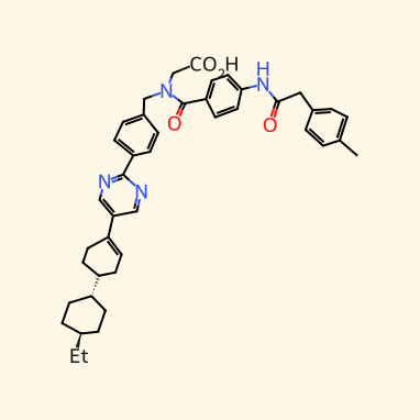 CC[C@H]1CC[C@H](C2CC=C(c3cnc(-c4ccc(CN(CC(=O)O)C(=O)c5ccc(NC(=O)Cc6ccc(C)cc6)cc5)cc4)nc3)CC2)CC1